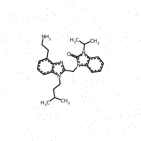 CC(C)CCn1c(Cn2c(=O)n(C(C)C)c3ccccc32)nc2c(CCN)cccc21